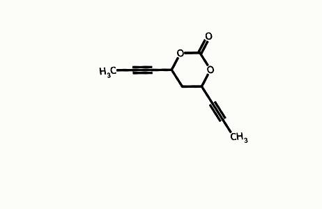 CC#CC1CC(C#CC)OC(=O)O1